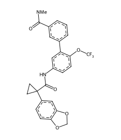 CNC(=O)c1cccc(-c2cc(NC(=O)C3(c4ccc5c(c4)OCO5)CC3)ccc2OC(F)(F)F)c1